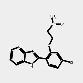 C[S+]([O-])CCOc1cc(Cl)ccc1-c1nc2ncccc2[nH]1